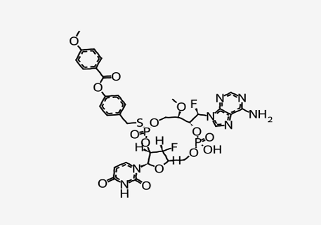 COc1ccc(C(=O)Oc2ccc(CSP3(=O)OC[C@@H](OC)[C@H]([C@@H](F)n4cnc5c(N)ncnc54)OP(=O)(O)OC[C@H]4O[C@@H](n5ccc(=O)[nH]c5=O)[C@H](O3)[C@@H]4F)cc2)cc1